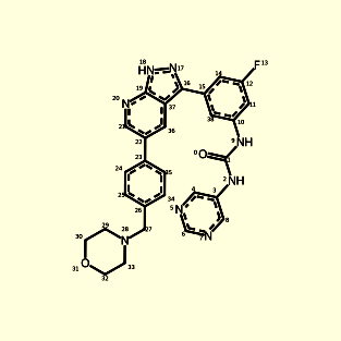 O=C(Nc1cncnc1)Nc1cc(F)cc(-c2n[nH]c3ncc(-c4ccc(CN5CCOCC5)cc4)cc23)c1